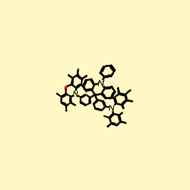 Cc1cc(C)c(C)c(N(c2cccc(C3(c4cccc(N(c5c(C)c(C)cc(C)c5C)c5c(C)c(C)c(C)c(C)c5C)c4)c4ccccc4N(c4ccccc4)c4ccccc43)c2)c2c(C)c(C)c(C)c(C)c2C)c1C